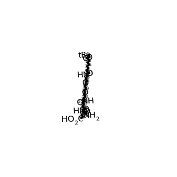 CC(C)(C)OC(=O)CCCCCCC(=O)NCCCOCCCCOCCCNC(=O)CCC(=O)N[C@@H](CCC(=O)O)C(N)=O